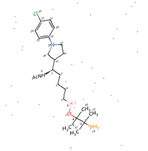 CC(=O)N[C@H](CCCCBOC(C)(C)C(C)(C)P)C1CCN(c2ccc(Cl)cc2)C1